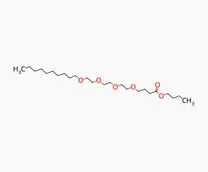 CCCCCCCCCCOCCOCCOCCOCCCC(=O)OCCCC